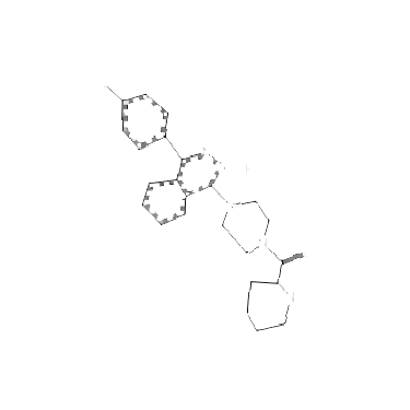 Cl.O=C(C1CCCCN1)N1CCN(c2nnc(-c3ccc(Cl)cc3)c3ccccc23)CC1